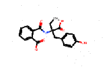 CCC(Cc1ccc(O)cc1)(NC(=O)c1ccccc1C(=O)O)C(=O)O